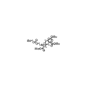 CCC(C)COC(=O)OCCN[C@@H](Cc1ccc(OC(=O)OCC(C)C)c(OC(=O)OCC(C)C)c1)C(=O)OC